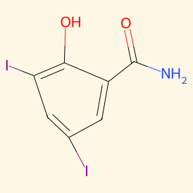 NC(=O)c1cc(I)cc(I)c1O